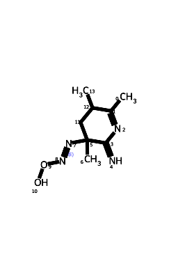 CC1=NC(=N)C(C)(/N=N/OO)CC1C